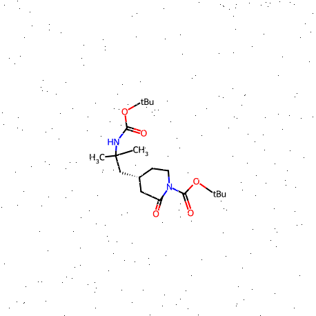 CC(C)(C[C@@H]1CCN(C(=O)OC(C)(C)C)C(=O)C1)NC(=O)OC(C)(C)C